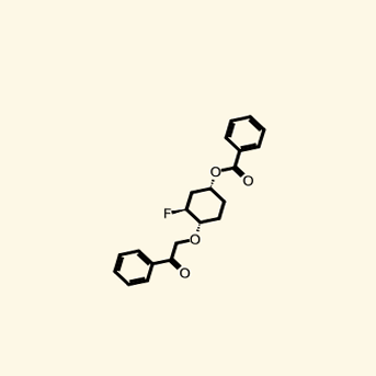 O=C(CO[C@H]1CC[C@@H](OC(=O)c2ccccc2)C[C@@H]1F)c1ccccc1